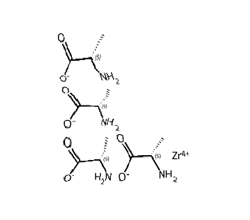 C[C@H](N)C(=O)[O-].C[C@H](N)C(=O)[O-].C[C@H](N)C(=O)[O-].C[C@H](N)C(=O)[O-].[Zr+4]